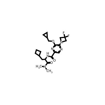 CN(C)C(=O)C(CC1CCC1)NC(=O)c1cnc(N2CC(F)(F)C2)c(OCC2CC2)n1